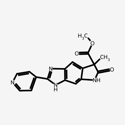 COC(=O)C1(C)C(=O)Nc2cc3[nH]c(-c4ccncc4)nc3cc21